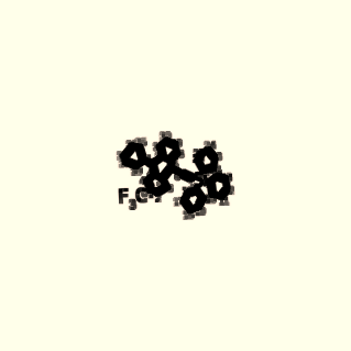 FC(F)(F)c1ccc2c(C#C[Si](c3ccccc3)(c3ccccc3)c3ccccc3)c3ccccc3c(-c3ccccc3)c2c1